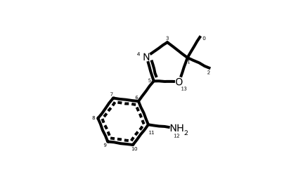 CC1(C)CN=C(c2ccccc2N)O1